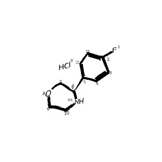 Cl.Fc1ccc([C@@H]2COCCN2)cc1